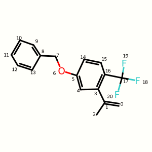 C=C(C)c1cc(OCc2ccccc2)ccc1C(F)(F)F